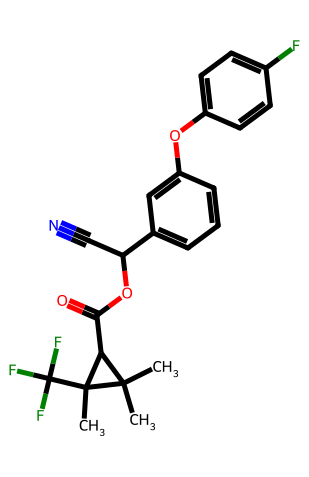 CC1(C)C(C(=O)OC(C#N)c2cccc(Oc3ccc(F)cc3)c2)C1(C)C(F)(F)F